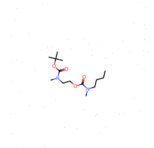 CCCCN(C)C(=O)OCCN(C)C(=O)OC(C)(C)C